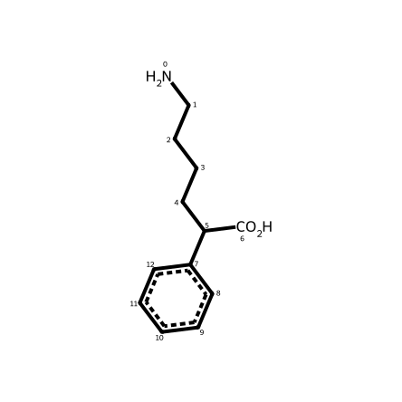 NCCCCC(C(=O)O)c1ccccc1